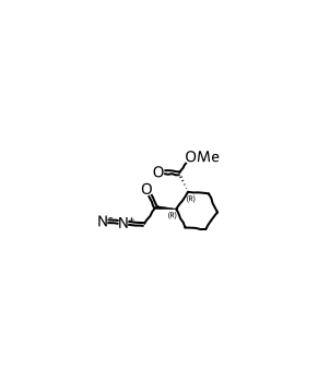 COC(=O)[C@@H]1CCCC[C@H]1C(=O)C=[N+]=[N-]